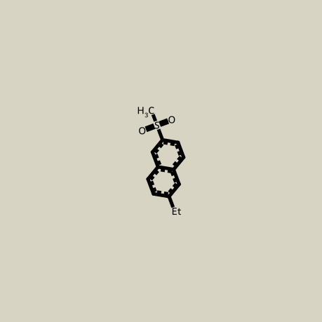 CCc1ccc2cc(S(C)(=O)=O)ccc2c1